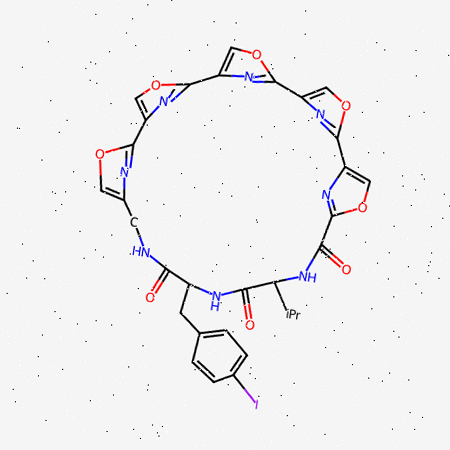 CC(C)C1NC(=O)c2nc(co2)-c2nc(co2)-c2nc(co2)-c2nc(co2)-c2nc(co2)CNC(=O)C(Cc2ccc(I)cc2)NC1=O